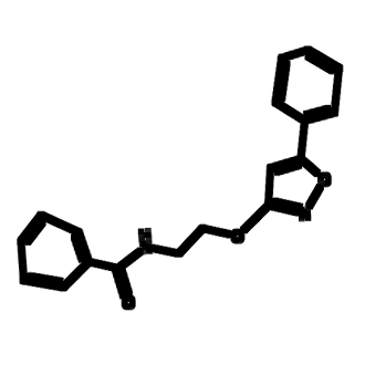 O=C(NCCOc1cc(-c2ccccc2)on1)c1ccccc1